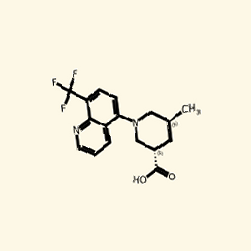 C[C@H]1C[C@H](C(=O)O)CN(c2ccc(C(F)(F)F)c3ncccc23)C1